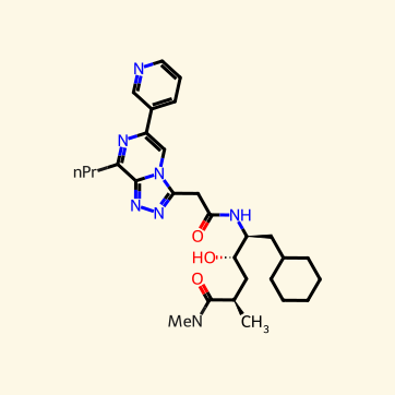 CCCc1nc(-c2cccnc2)cn2c(CC(=O)N[C@@H](CC3CCCCC3)[C@@H](O)C[C@@H](C)C(=O)NC)nnc12